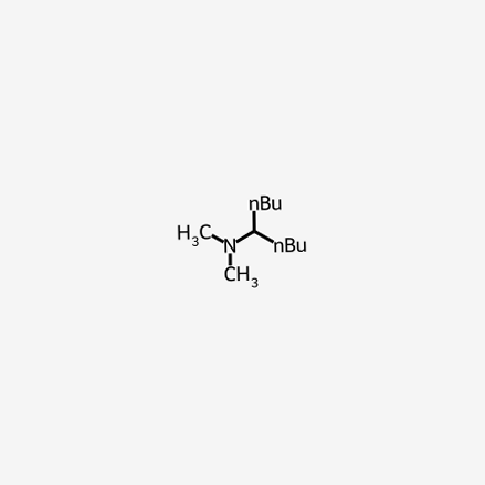 CCCCC(CCCC)N(C)C